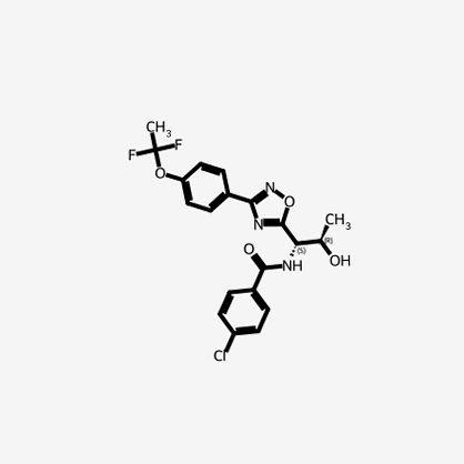 C[C@@H](O)[C@H](NC(=O)c1ccc(Cl)cc1)c1nc(-c2ccc(OC(C)(F)F)cc2)no1